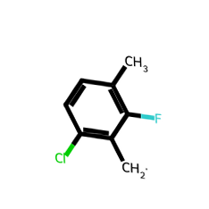 [CH2]c1c(Cl)ccc(C)c1F